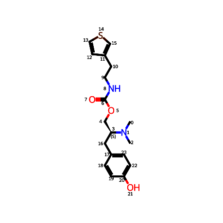 CN(C)[C@H](COC(=O)NCCc1ccsc1)Cc1ccc(O)cc1